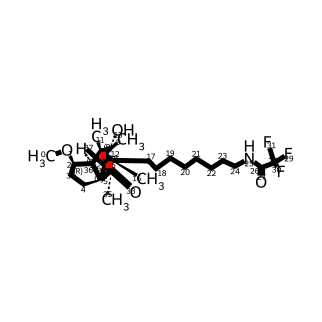 CO[C@@H]1CC[C@@]23CC[C@@H](C)[C@@](C)([C@H](O)C[C@](C)(CCCCCCCCNC(=O)C(F)(F)F)C(=O)[C@@H]2C)[C@H]13